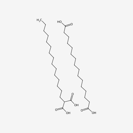 CCCCCCCCCCCCCCCC(C(=O)O)C(=O)O.O=C(O)CCCCCCCCCCCCCCC(=O)O